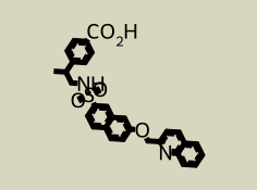 CC(CNS(=O)(=O)c1ccc2ccc(OCc3ccc4ccccc4n3)cc2c1)c1ccc(C(=O)O)cc1